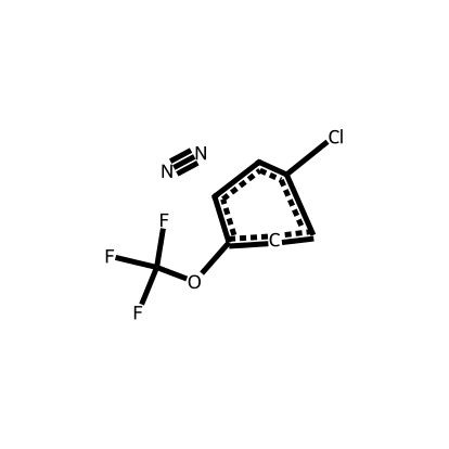 FC(F)(F)Oc1ccc(Cl)cc1.N#N